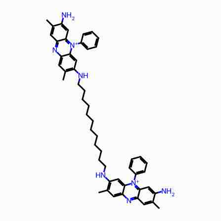 Cc1cc2nc3cc(C)c(NCCCCCCCCCCCCNc4cc5c(cc4C)nc4cc(C)c(N)cc4[n+]5-c4ccccc4)cc3[n+](-c3ccccc3)c2cc1N